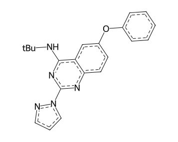 CC(C)(C)Nc1nc(-n2cccn2)nc2ccc(Oc3ccccc3)cc12